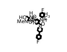 CNC(=O)C(CO)NS(=O)(=O)c1cc(Nc2ccc(F)cc2C)c(C(=O)N2CCC(c3ccc(F)cc3)CC2)cn1